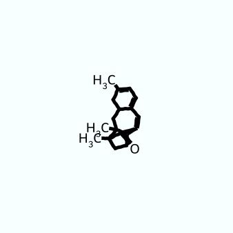 CC1=CC=C2C=C3C(=O)C4(C)CCC3C4(C)CC2C1